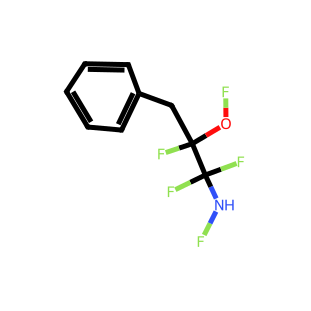 FNC(F)(F)C(F)(Cc1ccccc1)OF